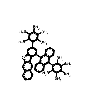 Bc1c(B)c(B)c(-c2cc(-c3c4ccccc4c(-c4c(B)c(B)c(B)c(B)c4B)c4ccccc34)c3c(c2)oc2cc4ccccc4cc23)c(B)c1B